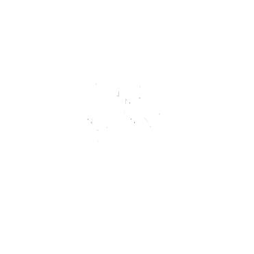 CCCCOCC(CN1C(=O)NC(=O)C(CC)(c2ccccc2)C1=O)OC(N)=O.O=S(=O)(O)S